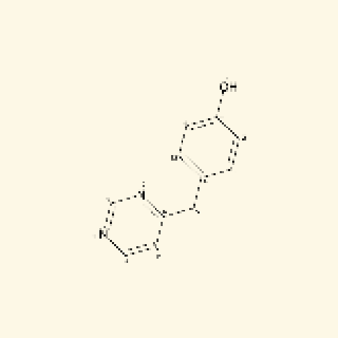 Oc1ccc(Cc2ncncn2)cc1